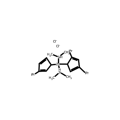 CC(C)C1=C[CH]([Zr]([CH]2C=C(C(C)C)C=C2C(C)C)([SiH](C)C)[SiH](C)C)C=C1.[Cl-].[Cl-]